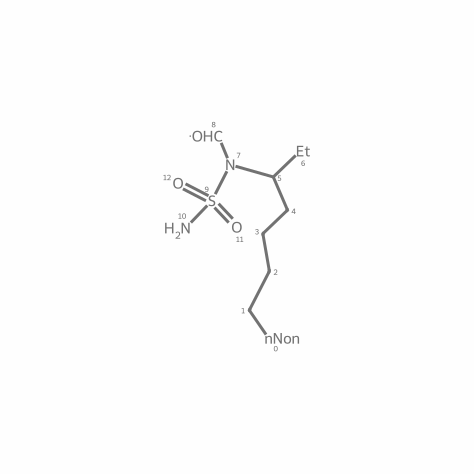 CCCCCCCCCCCCCC(CC)N([C]=O)S(N)(=O)=O